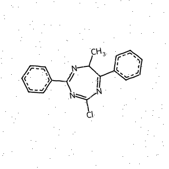 CC1N=C(c2ccccc2)N=C(Cl)N=C1c1ccccc1